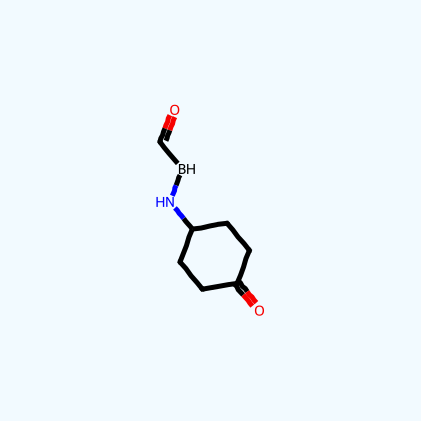 O=CBNC1CCC(=O)CC1